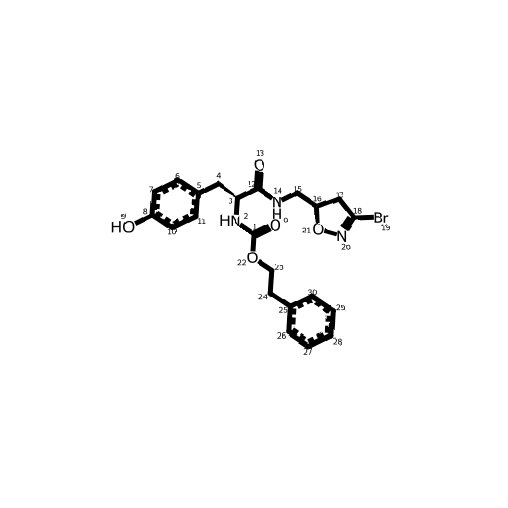 O=C(N[C@@H](Cc1ccc(O)cc1)C(=O)NCC1CC(Br)=NO1)OCCc1ccccc1